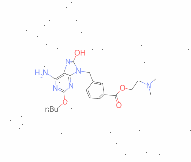 CCCCOc1nc(N)c2nc(O)n(Cc3cccc(C(=O)OCCN(C)C)c3)c2n1